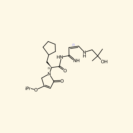 CC(C)OC1=CC(=O)N([C@@H](CC2CCCC2)C(=O)NC(=N)/C=C\NCC(C)(C)O)C1